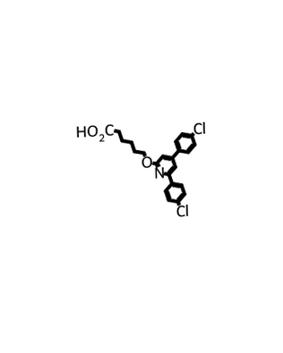 O=C(O)CCCCCOc1cc(-c2ccc(Cl)cc2)cc(-c2ccc(Cl)cc2)n1